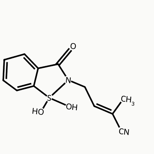 CC(C#N)=CCN1C(=O)c2ccccc2S1(O)O